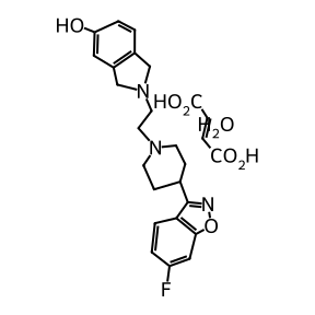 O.O=C(O)C=CC(=O)O.Oc1ccc2c(c1)CN(CCN1CCC(c3noc4cc(F)ccc34)CC1)C2